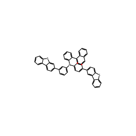 c1cc(-c2ccc3c(c2)sc2ccccc23)cc(N(c2ccc(-c3ccc4sc5ccccc5c4c3)cc2)c2ccccc2-c2cccc3ccccc23)c1